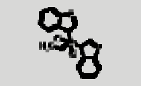 C[CH]=[Zr]([Cl])([Cl])([CH]1C=Pc2ccccc21)[CH]1C=Pc2ccccc21